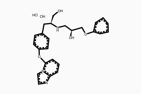 Cl.Cl.OC[C@H](Cc1ccc(Oc2cccc3nccn23)cc1)NC[C@H](O)COc1ccccc1